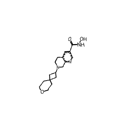 O=C(NO)c1cnc2c(c1)CCN(C1CC3(CCOCC3)C1)C2